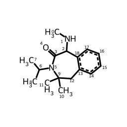 CNC1C(=O)N(C(C)C)C(C)(C)Cc2ccccc21